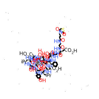 CC[C@H](C)[C@H](NC(=O)[C@H](CO)NC(=O)[C@H](CC(C)C)NC(=O)[C@H](CC(=O)O)NC(=O)[C@H](CO)NC(=O)[C@@H](NC(=O)[C@H](Cc1ccccc1)NC(=O)[C@@H](NC(=O)CNC(=O)[C@H](CCC(=O)O)NC(=O)CCNC(=O)CCCN1C(=O)CSC1=O)[C@@H](C)O)[C@@H](C)O)C(=O)N[C@@H](Cc1ccc(O)cc1)C(=O)N[C@@H](CC(C)C)C(=O)N[C@@H](CC(=O)O)C(=O)N[C@H](C)CCCCN